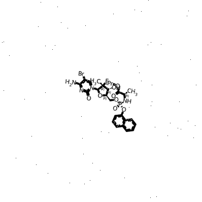 CC(C)OC(=O)[C@@H](C)N[P@@](=O)(OC[C@H]1OC(n2cc(Br)c(N)nc2=O)[C@](C)(F)[C@@H]1O)Oc1cccc2ccccc12